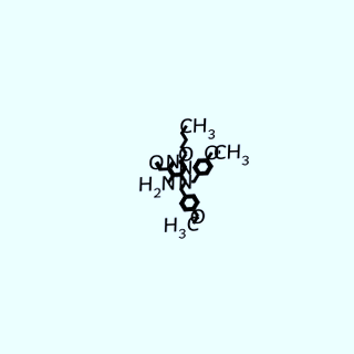 CCCCOc1nc(C=O)c(N)c(N(Cc2ccc(OC)cc2)Cc2ccc(OC)cc2)n1